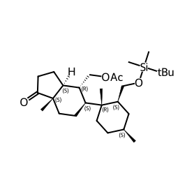 CC(=O)OC[C@@H]1[C@@H]([C@@]2(C)CC[C@H](C)C[C@@H]2CO[Si](C)(C)C(C)(C)C)CC[C@]2(C)C(=O)CC[C@@H]12